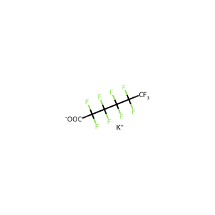 O=C([O-])C(F)(F)C(F)(F)C(F)(F)C(F)(F)C(F)(F)F.[K+]